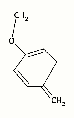 [CH2]OC1=CCC(=C)C=C1